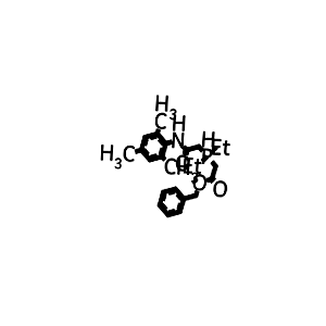 CC[PH](CC)(CC(=O)Nc1c(C)cc(C)cc1C)CC(=O)OCc1ccccc1